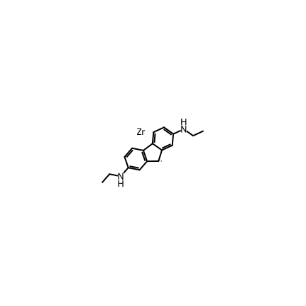 CCNc1ccc2c(c1)[CH]c1cc(NCC)ccc1-2.[Zr]